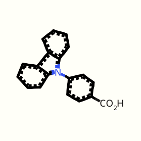 O=C(O)c1ccc(-n2c3ccccc3c3ccccc32)cc1